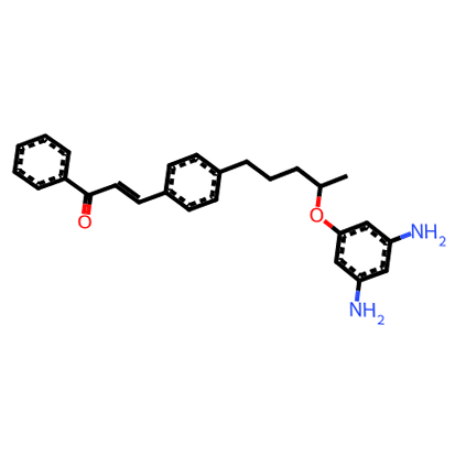 CC(CCCc1ccc(C=CC(=O)c2ccccc2)cc1)Oc1cc(N)cc(N)c1